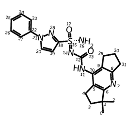 CC1(C)CCc2c1nc1c(c2NC(=O)N=[S@](N)(=O)c2ccn(-c3ccccc3)n2)CCC1